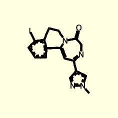 Cn1cc(C2=NCC(=O)N3CCc4c(I)cccc4C3=C2)cn1